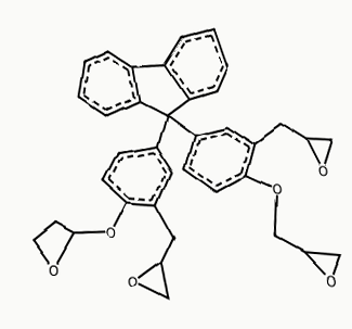 c1ccc2c(c1)-c1ccccc1C2(c1ccc(OCC2CO2)c(CC2CO2)c1)c1ccc(OC2CCO2)c(CC2CO2)c1